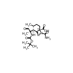 CC1CC[C@@]2(C(=O)O)C(=NN2C(N)=O)[C@@H]1[C@](C)(C=O)NC(=O)OC(C)(C)C